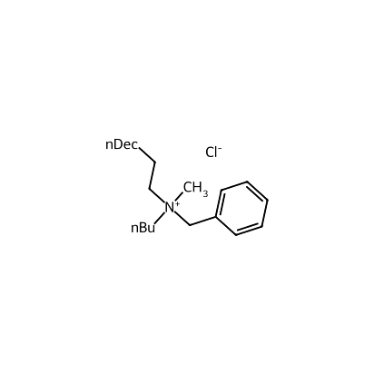 CCCCCCCCCCCC[N+](C)(CCCC)Cc1ccccc1.[Cl-]